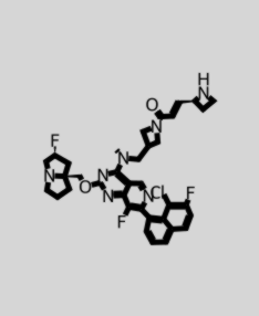 CN(CC1CN(C(=O)/C=C/[C@@H]2CCN2)C1)c1nc(OC[C@@]23CCCN2C[C@H](F)C3)nc2c(F)c(-c3cccc4ccc(F)c(Cl)c34)ncc12